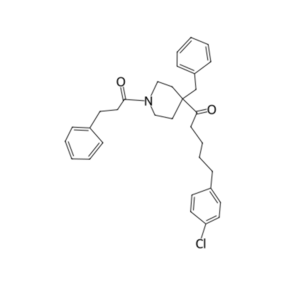 O=C(CCc1ccccc1)N1CCC(Cc2ccccc2)(C(=O)CCCCc2ccc(Cl)cc2)CC1